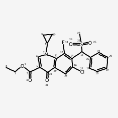 CCOC(=O)c1cn(C2CC2)c2c(F)c(C(c3ccccc3)S(C)(=O)=O)c(Cl)cc2c1=O